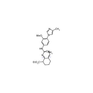 C=C(/N=C1\C(=C/N)CCCC1C(=O)OCC)Nc1ccc(-n2cnc(C)c2)c(OC)c1